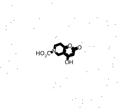 O=C(O)N1CCc2oc(=O)cc(O)c2C1